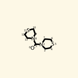 [O]C(N1CCSCC1)N1CCSCC1